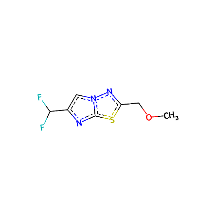 COCc1nn2cc(C(F)F)nc2s1